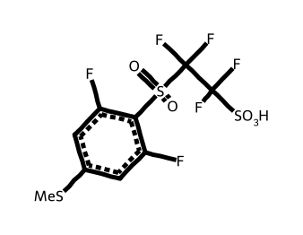 CSc1cc(F)c(S(=O)(=O)C(F)(F)C(F)(F)S(=O)(=O)O)c(F)c1